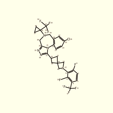 Fc1ccc(C(F)(F)F)c(F)c1N1CC2(CC(c3nnc4n3-c3ccc(Cl)cc3CN(C3(C(F)(F)F)CC3)C4)C2)C1